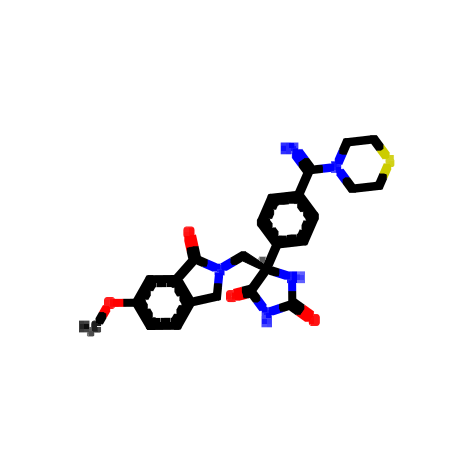 COc1ccc2c(c1)C(=O)N(C[C@@]1(c3ccc(C(=N)N4CCSCC4)cc3)NC(=O)NC1=O)C2